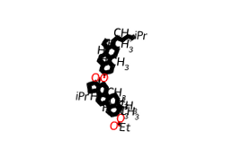 CCC(=O)O[C@H]1CC[C@@]2(C)C(CC[C@]3(C)[C@@H]2CC[C@@H]2C4[C@H](C(C)C)CC[C@]4(C(=O)O[C@@H]4CC[C@@]5(C)C(=CC[C@H]6[C@@H]7CC[C@H]([C@H](C)CCCC(C)C)[C@@]7(C)CC[C@@H]65)C4)CC[C@]23C)C1(C)C